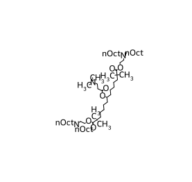 CCCCCCCCN(CCCCCCCC)CCOC(=O)C(C)(C)CCCCCC(CCCCCC(C)(C)C(=O)OCCN(CCCCCCCC)CCCCCCCC)OC(=O)CCN(C)C